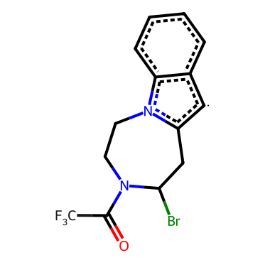 O=C(N1CCn2c([c]c3ccccc32)CC1Br)C(F)(F)F